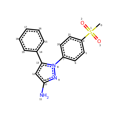 CS(=O)(=O)c1ccc(-n2nc(N)cc2-c2ccccc2)cc1